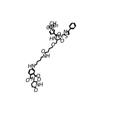 CS(=O)(=O)n1ccc(C(=O)NC(COCCCC(=O)NCCCCNc2ccc3c(c2)C(=O)N(C2CCC(=O)NC2=O)C3=O)C(=O)Nc2nc(-c3ccccc3)cs2)c1